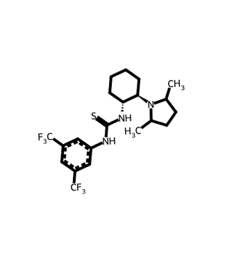 CC1CCC(C)N1[C@@H]1CCCC[C@H]1NC(=S)Nc1cc(C(F)(F)F)cc(C(F)(F)F)c1